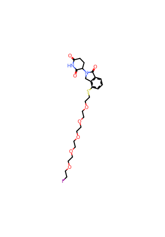 O=C1CCC(N2Cc3c(SCCOCCOCCOCCOCCOCCI)cccc3C2=O)C(=O)N1